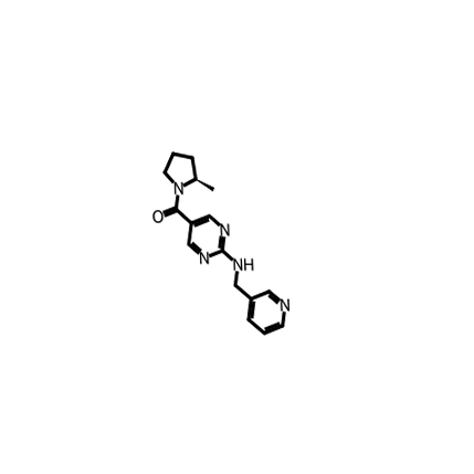 C[C@@H]1CCCN1C(=O)c1cnc(NCc2cccnc2)nc1